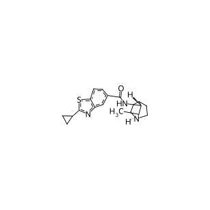 C[C@H]1[C@H](NC(=O)c2ccc3sc(C4CC4)nc3c2)C2CCN1CC2